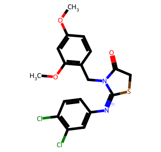 COc1ccc(CN2C(=O)CS/C2=N/c2ccc(Cl)c(Cl)c2)c(OC)c1